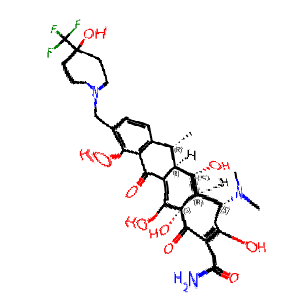 C[C@H]1c2ccc(CN3CCC(O)(C(F)(F)F)CC3)c(O)c2C(=O)C2=C(O)[C@]3(O)C(=O)C(C(N)=O)=C(O)[C@@H](N(C)C)[C@@H]3[C@@H](O)[C@@H]21